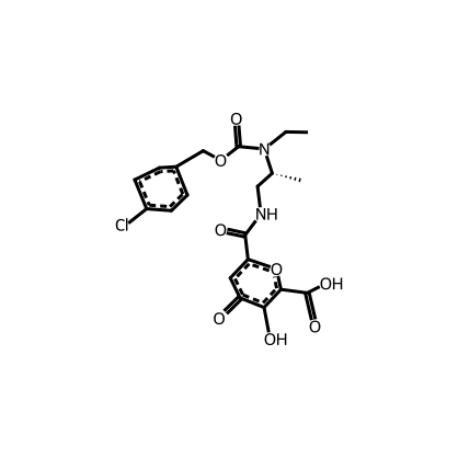 CCN(C(=O)OCc1ccc(Cl)cc1)[C@H](C)CNC(=O)c1cc(=O)c(O)c(C(=O)O)o1